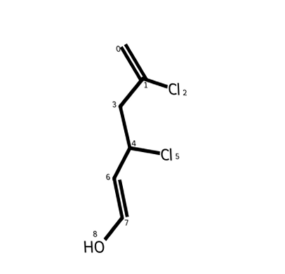 C=C(Cl)CC(Cl)C=CO